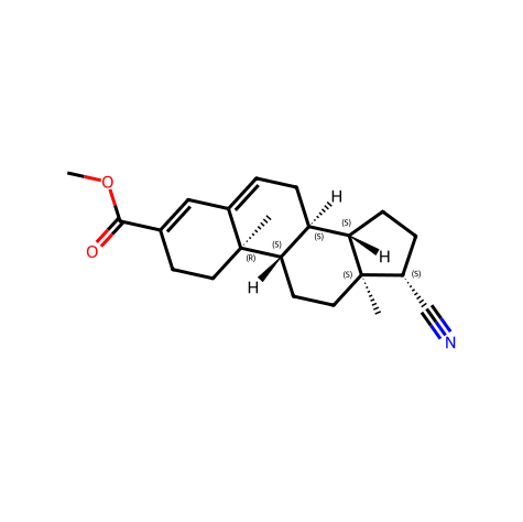 COC(=O)C1=CC2=CC[C@H]3[C@@H]4CC[C@H](C#N)[C@@]4(C)CC[C@@H]3[C@@]2(C)CC1